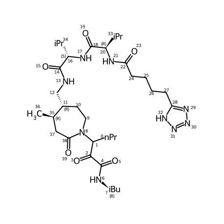 CCCC(C(=O)C(=O)N[C@H](C)CC)N1CC[C@@H](CNC(=O)[C@@H](NC(=O)[C@H](NC(=O)CCCCc2nnn[nH]2)C(C)C)C(C)C)[C@H](C)CC1=O